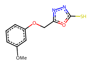 COc1cccc(OCc2nnc(S)o2)c1